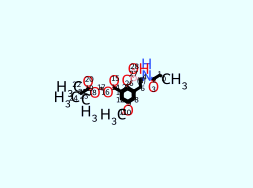 CCC(=O)N[C@H]1Cc2cc(OC)cc(C(=O)OCOC(=O)C(C)(C)C)c2OB1O